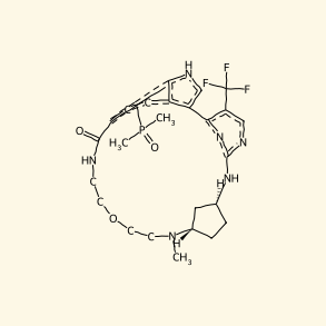 CN1CCOCCNC(=O)c2ccc3c(c[nH]c3c2P(C)(C)=O)-c2nc(ncc2C(F)(F)F)N[C@H]2CC[C@H]1C2